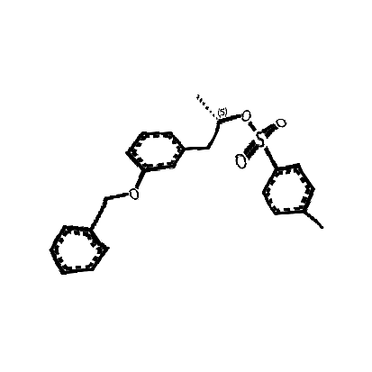 Cc1ccc(S(=O)(=O)O[C@@H](C)Cc2cccc(OCc3ccccc3)c2)cc1